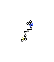 c1cc(-c2ccc(-c3cccc(-c4cnc5c6ccccc6c6ccccc6c5n4)c3)cc2)cc(-c2ccc(-c3cccc4c3sc3ccccc34)cc2)c1